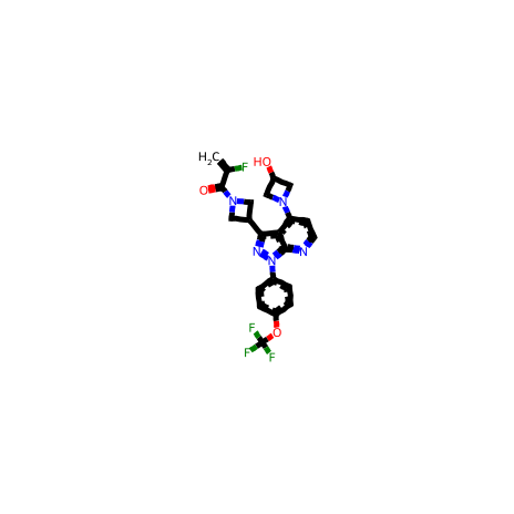 C=C(F)C(=O)N1CC(c2nn(-c3ccc(OC(F)(F)F)cc3)c3nccc(N4CC(O)C4)c23)C1